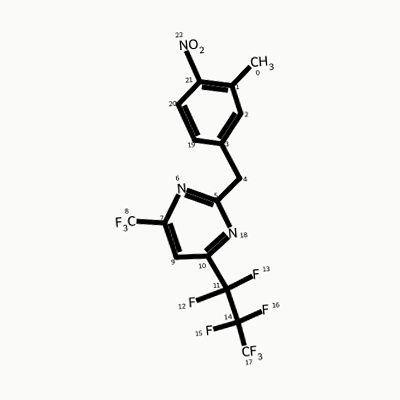 Cc1cc(Cc2nc(C(F)(F)F)cc(C(F)(F)C(F)(F)C(F)(F)F)n2)ccc1[N+](=O)[O-]